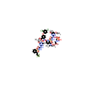 COC(=O)c1cc(Oc2ccc(Cl)cc2Cl)ccc1[N+](=O)[O-].COc1cc(OC)nc(NC(=O)NS(=O)(=O)c2ncccc2C(=O)N(C)C)n1.COc1nc(C)nc(NC(=O)NS(=O)(=O)c2ccccc2CCC(F)(F)F)n1.O=C(O)CNCP(=O)(O)O